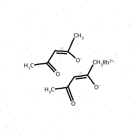 CC(=O)/C=C(/C)[O-].CC(=O)/C=C(/C)[O-].[Rh+2]